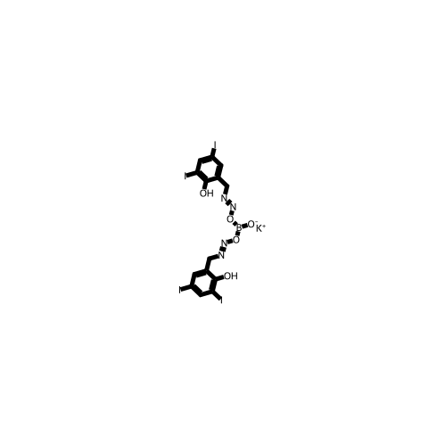 [K+].[O-]B(ON=NCc1cc(I)cc(I)c1O)ON=NCc1cc(I)cc(I)c1O